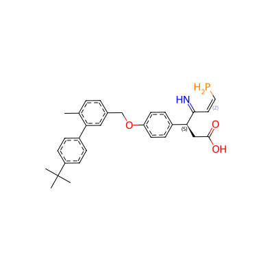 Cc1ccc(COc2ccc([C@H](CC(=O)O)C(=N)/C=C\P)cc2)cc1-c1ccc(C(C)(C)C)cc1